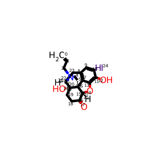 C=CCN1CC[C@]23c4c5ccc(O)c4O[C@H]2C(=O)CC[C@@]3(O)[C@H]1C5.I